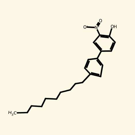 CCCCCCCCCCc1ccc(-c2ccc(O)c([N+](=O)[O-])c2)cc1